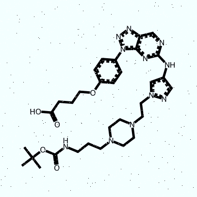 CC(C)(C)OC(=O)NCCCN1CCN(CCn2cc(Nc3ncc4nnn(-c5ccc(OCCCC(=O)O)cc5)c4n3)cn2)CC1